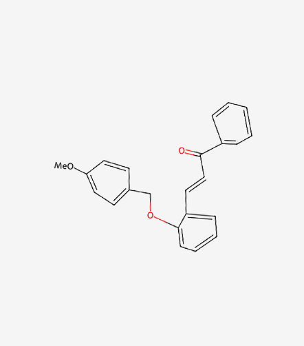 COc1ccc(COc2ccccc2/C=C/C(=O)c2ccccc2)cc1